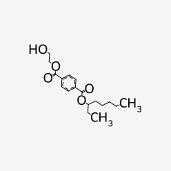 CCCCCC(CC)OC(=O)c1ccc(C(=O)OCCO)cc1